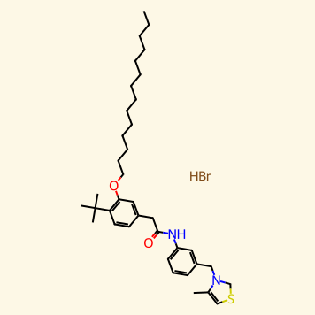 Br.CCCCCCCCCCCCCCOc1cc(CC(=O)Nc2cccc(CN3CSC=C3C)c2)ccc1C(C)(C)C